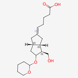 O=C(O)CCC/C=C1/C[C@H]2CC(OC3CCCCO3)[C@H](CO)[C@H]2C1